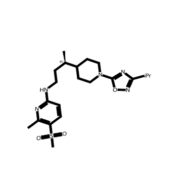 Cc1nc(NCC[C@@H](C)C2CCN(c3nc(C(C)C)no3)CC2)ccc1S(C)(=O)=O